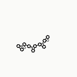 c1cc(-c2ccc(-n3c4ccccc4c4cc(-c5ccc6c(c5)c5ccccc5n6-c5ccc6c(c5)oc5ccccc56)ccc43)cc2)c2c(c1)-n1c3ccccc3c3cccc(c31)O2